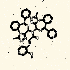 COc1ccccc1C=CC(=O)N(C1N=C(c2ccccc2)c2ccccc2-n2c(C)nnc21)C1N=C(c2ccccc2)c2ccccc2-n2c(C)nnc21